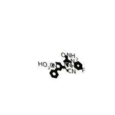 N#CC[C@H](C1CCN(C(=O)O)C(C2CCCCC2)C1)n1cc(C(N)=O)c(Nc2ccc(F)cc2)n1